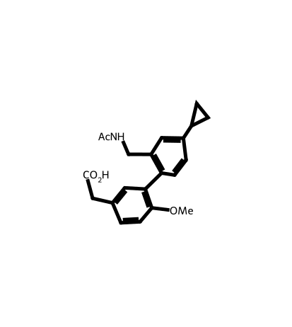 COc1ccc(CC(=O)O)cc1-c1ccc(C2CC2)cc1CNC(C)=O